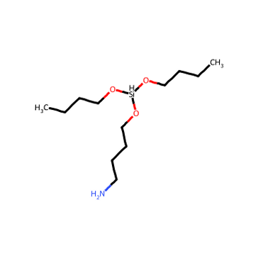 CCCCO[SiH](OCCCC)OCCCCN